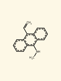 C=Cc1c2ccccc2c(NC)c2ccccc12